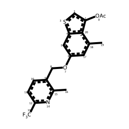 CC(=O)Oc1csc2cc(OCc3ccc(C(F)(F)F)nc3C)cc(C)c12